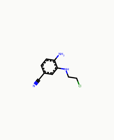 N#Cc1ccc(N)c(NCCCl)c1